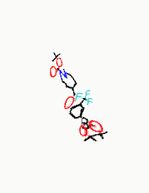 CC(C)(C)OC(=O)N1CCC(COc2ccc(B3OC(C)(C)C(C)(C)O3)cc2C(F)(F)F)CC1